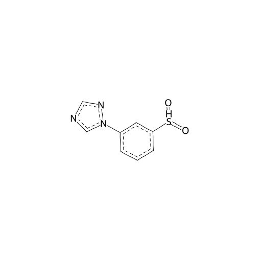 O=[SH](=O)c1cccc(-n2cncn2)c1